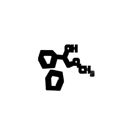 COCC(O)c1ccccc1.c1ccccc1